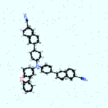 N#Cc1ccc2cc(-c3ccc(N(c4ccc(-c5ccc6cc(C#N)ccc6c5)cc4)c4ccc5oc6ccccc6c5c4)cc3)ccc2c1